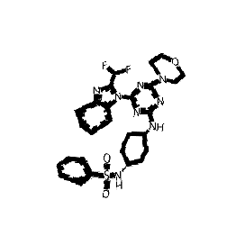 O=S(=O)(N[C@H]1CC[C@H](Nc2nc(N3CCOCC3)nc(-n3c(C(F)F)nc4ccccc43)n2)CC1)c1ccccc1